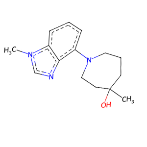 Cn1cnc2c(N3CCCC(C)(O)CC3)cccc21